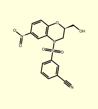 N#Cc1cccc(S(=O)(=O)N2C[C@H](CO)Oc3ccc([N+](=O)[O-])cc32)c1